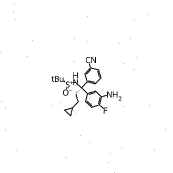 CC(C)(C)[S@+]([O-])N[C@@](CCC1CC1)(c1cccc(C#N)c1)c1ccc(F)c(N)c1